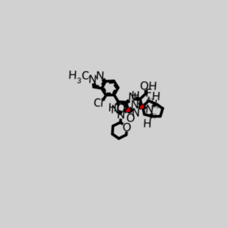 Cn1cc2c(Cl)c(-c3nn(C4CCCCO4)c4nc(N5[C@H]6CC[C@@H]5[C@@H](F)[C@@H](NC(=O)O)C6)c(CO)nc34)ccc2n1